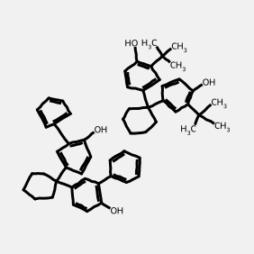 CC(C)(C)c1cc(C2(c3ccc(O)c(C(C)(C)C)c3)CCCCC2)ccc1O.Oc1ccc(C2(c3ccc(O)c(-c4ccccc4)c3)CCCCC2)cc1-c1ccccc1